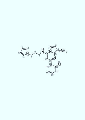 Bc1cnn2c(NCCCn3cccc3)cc(-c3ccccc3Cl)nc12